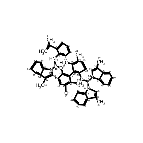 C=C(C)c1ccccc1NP(Oc1ccc(C)c(C)c1-c1c(OP(n2cc(C)c3ccccc32)n2cc(C)c3ccccc32)ccc(C)c1C)n1cc(C)c2ccccc21